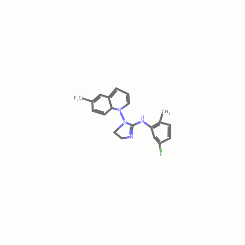 Cc1ccc(F)cc1NC1=NCCN1N1C=CC=C2C=C(C(F)(F)F)C=CC21